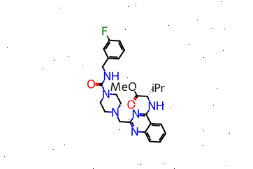 COC(=O)[C@@H](Nc1nc(CN2CCN(C(=O)NCc3cccc(F)c3)CC2)nc2ccccc12)C(C)C